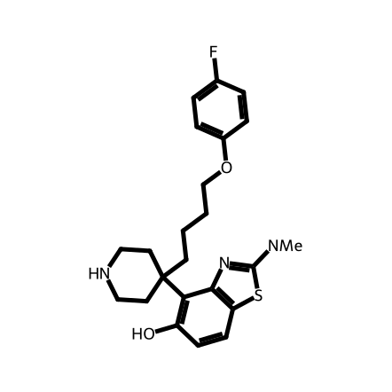 CNc1nc2c(C3(CCCCOc4ccc(F)cc4)CCNCC3)c(O)ccc2s1